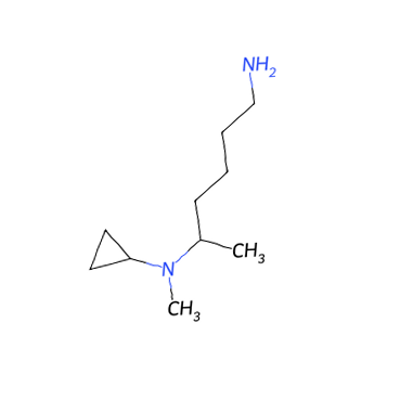 CC(CCCCN)N(C)C1CC1